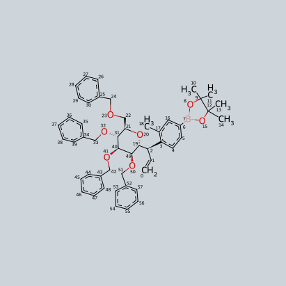 C=C[C@H](c1ccc(B2OC(C)(C)C(C)(C)O2)cc1C)[C@H]1O[C@H](COCc2ccccc2)[C@@H](OCc2ccccc2)[C@H](OCc2ccccc2)[C@@H]1OCc1ccccc1